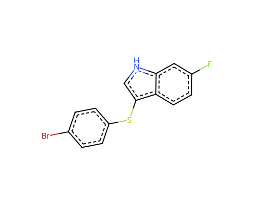 Fc1ccc2c(Sc3ccc(Br)cc3)c[nH]c2c1